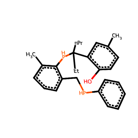 CCCC(CC)(Pc1c(C)cccc1CPc1ccccc1)c1cc(C)ccc1O